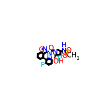 CS(=O)(=O)N[C@@H]1CN(C(=O)Nc2noc3cccc(-c4c(F)cccc4F)c23)[C@H](CO)C1(F)F